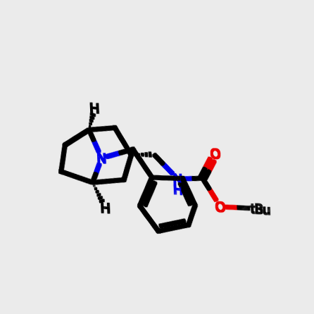 CC(C)(C)OC(=O)NC[C@@H]1C[C@H]2CC[C@@H](C1)N2Cc1ccccc1